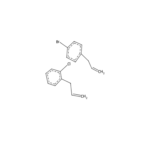 C=CCc1ccc(Br)cc1.C=CCc1ccccc1Cl